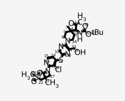 C[C@@H]1OCC2(CCN(c3ncc(Sc4ccnc(N5CC(C)(CS(C)(=O)=O)C5)c4Cl)nc3CO)CC2)[C@@H]1NC(=O)OC(C)(C)C